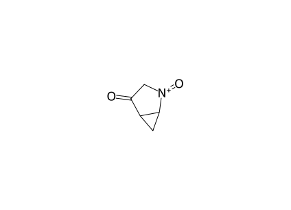 O=C1C[N+](=O)C2CC12